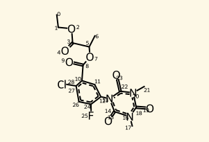 CCOC(=O)C(C)OC(=O)c1cc(-n2c(=O)n(C)c(=O)n(C)c2=O)c(F)cc1Cl